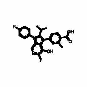 Cc1cc(-c2c(C(C)C)n(-c3ccc(F)cc3)c3cnc(F)c(O)c23)ccc1C(=O)O